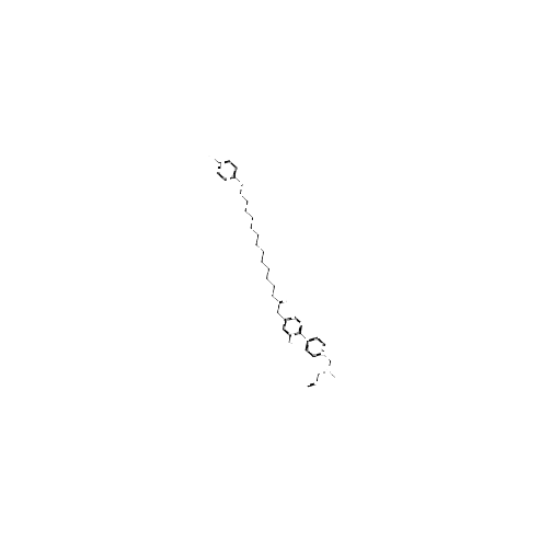 C=CCN(C)Cc1ccc(-c2ccc(CC(=O)CCCCCCCCCCCCCCc3ccc(Br)cc3)cc2Cl)cc1